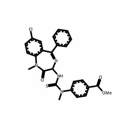 COC(=O)c1ccc(N(C)C(=S)NC2N=C(c3ccccc3)c3cc(Cl)ccc3N(C)C2=O)cc1